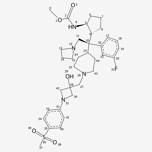 COC(=O)N[C@H]1CCC[C@@H]1[C@](CN1CCC1)(c1cccc(F)c1)C1CCN(CC2(O)CN(c3ccc(S(C)(=O)=O)cc3)C2)CC1